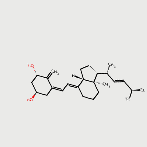 C=C1/C(=C\C=C2/CCC[C@]3(C)[C@@H]([C@H](C)/C=C/[C@@H](CC)C(C)C)CC[C@@H]23)C[C@@H](O)C[C@@H]1O